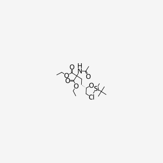 CCOC(=O)C(CC[C@@H](CCl)O[Si](C)(C)C(C)(C)C)(NC(C)=O)C(=O)OCC